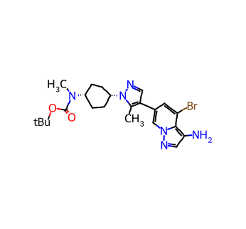 Cc1c(-c2cc(Br)c3c(N)cnn3c2)cnn1[C@H]1CC[C@@H](N(C)C(=O)OC(C)(C)C)CC1